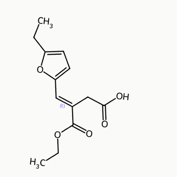 CCOC(=O)/C(=C/c1ccc(CC)o1)CC(=O)O